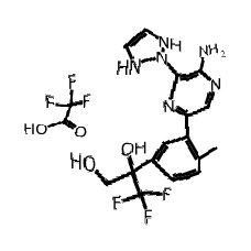 Cc1ccc(C(O)(CO)C(F)(F)F)cc1-c1cnc(N)c(N2NC=CN2)n1.O=C(O)C(F)(F)F